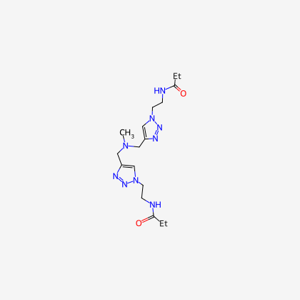 CCC(=O)NCCn1cc(CN(C)Cc2cn(CCNC(=O)CC)nn2)nn1